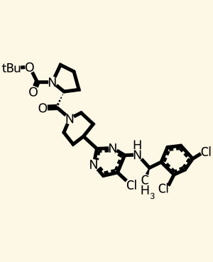 C[C@@H](Nc1nc(C2CCN(C(=O)[C@H]3CCCN3C(=O)OC(C)(C)C)CC2)ncc1Cl)c1ccc(Cl)cc1Cl